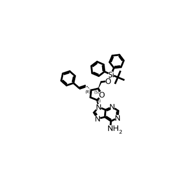 CC(C)(C)[Si](OC[C@H]1O[C@@H](n2cnc3c(N)ncnc32)C[C@@H]1C=Cc1ccccc1)(c1ccccc1)c1ccccc1